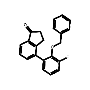 O=C1CCc2c1cccc2-c1cccc(F)c1OCc1ccccc1